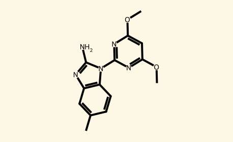 COc1cc(OC)nc(-n2c(N)nc3cc(C)ccc32)n1